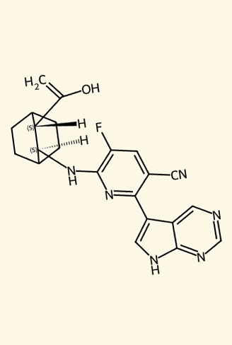 C=C(O)[C@H]1C2CCC(CC2)[C@@H]1Nc1nc(-c2c[nH]c3ncncc23)c(C#N)cc1F